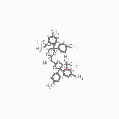 Cc1ccc(C2(c3ccc(C)cc3)OC(CC3=N[C@H](C(C)(C)C)C(c4ccc(C)cc4)(c4ccc(C)cc4)O3)=N[C@@H]2C(C)(C)C)cc1.[Ni]